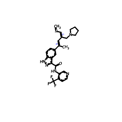 C=N/C=C(\C=C(/C)c1ccc2[nH]nc(C(=O)Nc3cnccc3C(F)(F)F)c2c1)CN1CCCC1